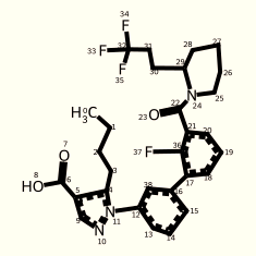 CCCCc1c(C(=O)O)cnn1-c1cccc(-c2cccc(C(=O)N3CCCCC3CCC(F)(F)F)c2F)c1